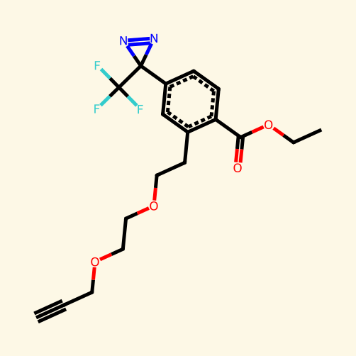 C#CCOCCOCCc1cc(C2(C(F)(F)F)N=N2)ccc1C(=O)OCC